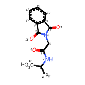 CC(C)C(NC(=O)CN1C(=O)c2ccccc2C1=O)C(=O)O